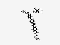 C=C(C)C(=O)OCCCc1cc(-c2ccc(/C(F)=C(\F)c3ccc(CCCCC)cc3)cc2)ccc1OCCO